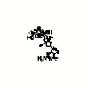 C#C[C@]1(COP(=O)(O)OP(=O)(O)OP(=O)(O)O)C[C@@H](n2cnc3c(Cl)nc(N)nc32)C[C@@H]1O